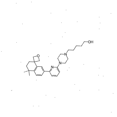 CC1(C)CCC2(COC2)c2cc(-c3cccc(N4CCN(CCCCCO)CC4)n3)ccc21